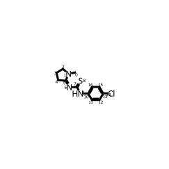 CN1CCCC1=NC(=S)Nc1ccc(Cl)cc1